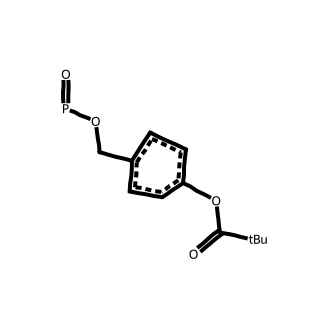 CC(C)(C)C(=O)Oc1ccc(COP=O)cc1